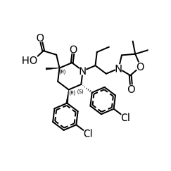 CCC(CN1CC(C)(C)OC1=O)N1C(=O)[C@@](C)(CC(=O)O)C[C@H](c2cccc(Cl)c2)[C@H]1c1ccc(Cl)cc1